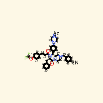 CC(=O)N1CCN(c2ccc(CN(C(=O)C=Cc3ccc(OC(F)F)cc3)[C@@H](Cc3ccccc3)C(=O)N3CCN(Cc4ccc(C#N)cc4)CC3)cc2)CC1